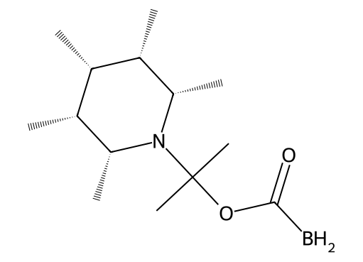 BC(=O)OC(C)(C)N1[C@H](C)[C@H](C)[C@H](C)[C@H](C)[C@@H]1C